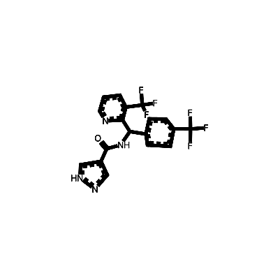 O=C(NC(c1ccc(C(F)(F)F)cc1)c1ncccc1C(F)(F)F)c1cn[nH]c1